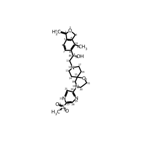 C=C1OCc2c1ccc([C@@H](O)CN1CCC3(CC1)CN(c1cnc(S(C)(=O)=O)cn1)CCO3)c2C